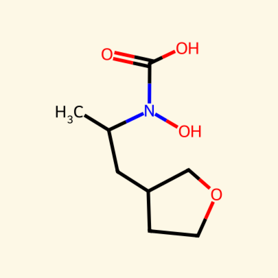 CC(CC1CCOC1)N(O)C(=O)O